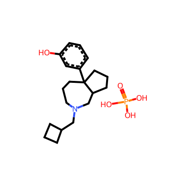 O=P(O)(O)O.Oc1cccc(C23CCCC2CN(CC2CCC2)CCC3)c1